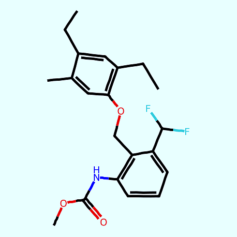 CCc1cc(CC)c(OCc2c(NC(=O)OC)cccc2C(F)F)cc1C